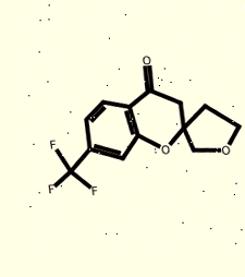 O=C1CC2(CCOC2)Oc2cc(C(F)(F)F)ccc21